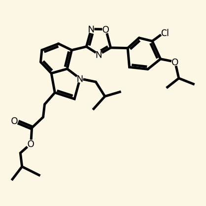 CC(C)COC(=O)CCc1cn(CC(C)C)c2c(-c3noc(-c4ccc(OC(C)C)c(Cl)c4)n3)cccc12